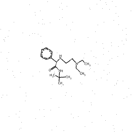 CCN(CC)CCNC(C(=O)NC(C)(C)C)c1ccccc1